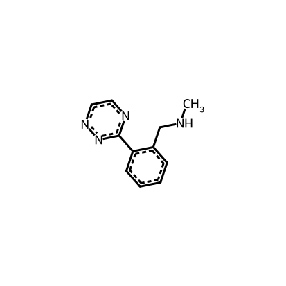 CNCc1ccccc1-c1nccnn1